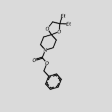 CCC1(CC)COC2(CCN(C(=O)OCc3ccccc3)CC2)O1